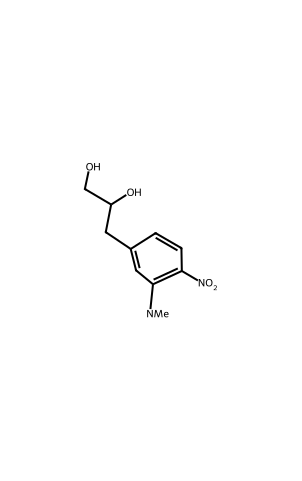 CNc1cc(CC(O)CO)ccc1[N+](=O)[O-]